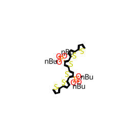 CCCCOP(=O)(OCCCC)c1cc(-c2cc(P(=O)(OCCCC)OCCCC)c(-c3ccc(-c4cccs4)s3)s2)sc1-c1ccc(-c2cccs2)s1